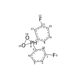 Fc1cccc([PH]2(c3cccc(F)c3)OO2)c1